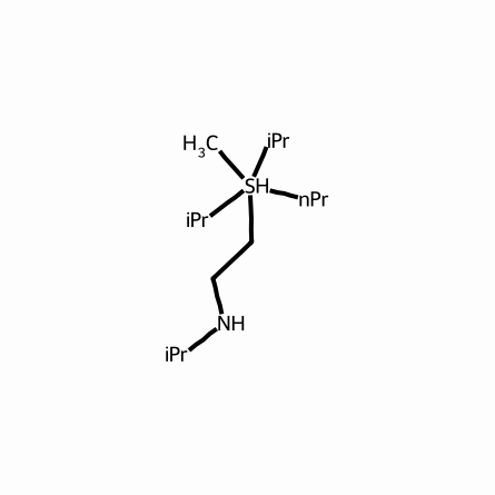 CCC[SH](C)(CCNC(C)C)(C(C)C)C(C)C